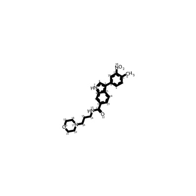 Cc1ccc(-c2c[nH]c3cc(C(=O)NCCCN4CCOCC4)ccc23)cc1[N+](=O)[O-]